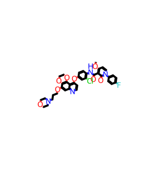 COc1ccn(-c2ccc(F)cc2)c(=O)c1C(=O)Nc1ccc(Oc2ccnc3cc(OCCCN4CCOCC4)c4c(c23)OCCO4)cc1Cl